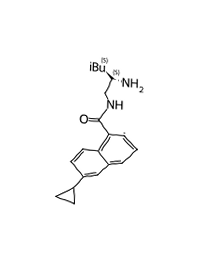 CC[C@H](C)[C@H](N)CNC(=O)c1[c]ccc2cc(C3CC3)ccc12